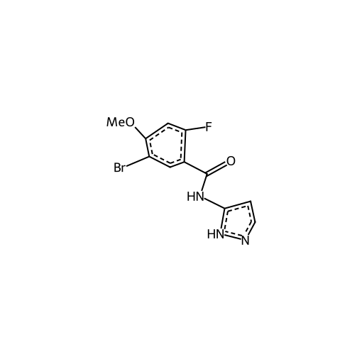 COc1cc(F)c(C(=O)Nc2ccn[nH]2)cc1Br